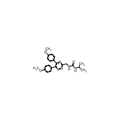 COc1ccc(-c2nnc(CNC(=O)NC(C)C)nc2-c2ccc(OC)cc2)cc1